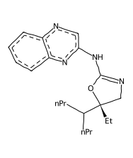 CCCC(CCC)[C@@]1(CC)CN=C(Nc2cnc3ccccc3n2)O1